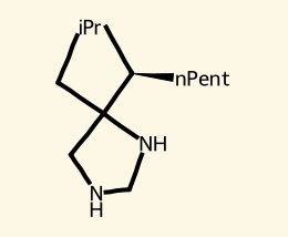 CCCCC[C@H](C)C1(CC(C)C)CNCN1